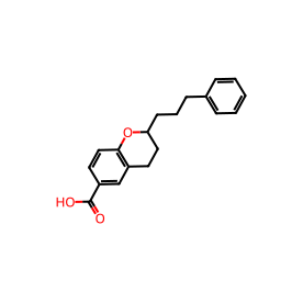 O=C(O)c1ccc2c(c1)CCC(CCCc1ccccc1)O2